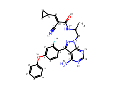 CC(Cn1nc(-c2ccc(Oc3ccccc3)cc2F)c2c(N)ncnc21)NC(=O)C(C#N)=CC1CC1